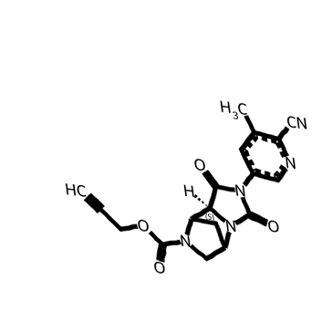 C#CCOC(=O)N1CC2CC1[C@H]1C(=O)N(c3cnc(C#N)c(C)c3)C(=O)N21